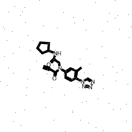 C#CC(=O)N(CC(=O)NC1CCCC1)c1ccc(-n2cnnn2)c(C)c1